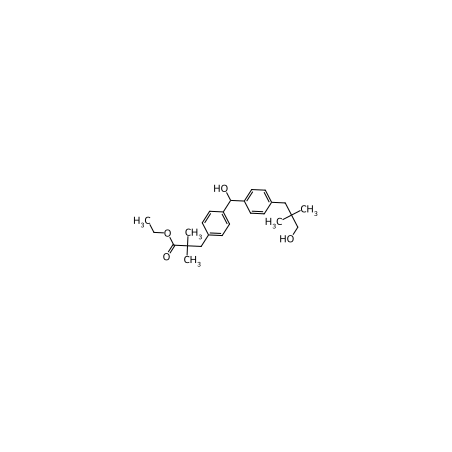 CCOC(=O)C(C)(C)Cc1ccc(C(O)c2ccc(CC(C)(C)CO)cc2)cc1